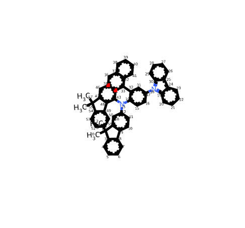 CC1(C)c2ccccc2-c2ccc(N(c3ccc(-n4c5ccccc5c5ccccc54)cc3-c3cccc4ccccc34)c3cccc4c3-c3ccccc3C4(C)C)cc21